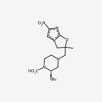 CC1(CN2CCN(C(=O)O)[C@H](C(C)(C)C)C2)Cn2cc([N+](=O)[O-])nc2O1